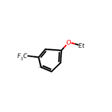 CCOc1cc[c]c(C(F)(F)F)c1